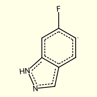 Fc1[c]cc2cn[nH]c2c1